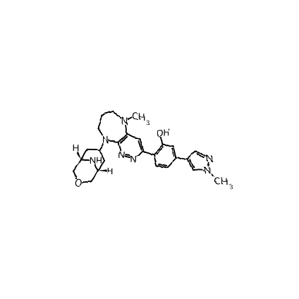 CN1CCCN(C2C[C@H]3COC[C@@H](C2)N3)c2nnc(-c3ccc(-c4cnn(C)c4)cc3O)cc21